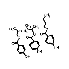 CC(C)COC(=O)c1ccc(O)cc1.CCC(C)OC(=O)c1ccc(O)cc1.CCCCOC(=O)c1ccc(O)cc1